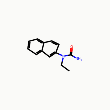 CCN(C(N)=O)c1ccc2ccccc2c1